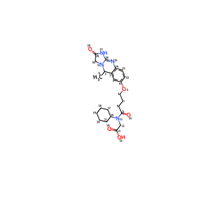 CC1c2cc(OCCCC(=O)N(CC(=O)O)C3CCCCC3)ccc2N=C2NC(=O)CN21